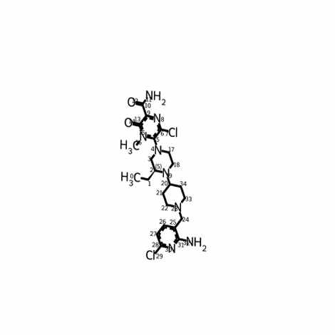 CC[C@H]1CN(c2c(Cl)nc(C(N)=O)c(=O)n2C)CCN1C1CCN(Cc2ccc(Cl)nc2N)CC1